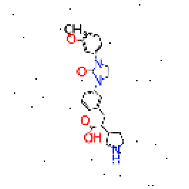 COc1cccc(N2CCN(c3cccc(CC(C(=O)O)[C@H]4CCNC4)c3)C2=O)c1